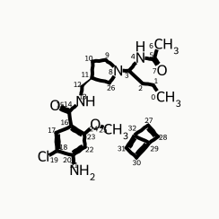 CCCC(NC(C)=O)N1CC[C@H](CNC(=O)c2cc(Cl)c(N)cc2OC)C1.c1cc2ccc1-2